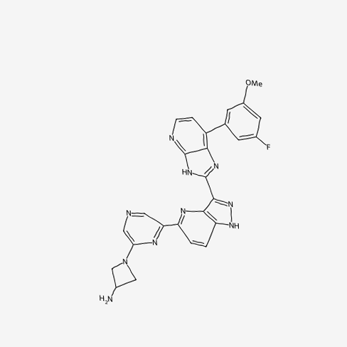 COc1cc(F)cc(-c2ccnc3[nH]c(-c4n[nH]c5ccc(-c6cncc(N7CC(N)C7)n6)nc45)nc23)c1